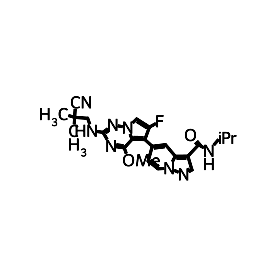 COc1nc(NCC(C)(C)C#N)nn2cc(F)c(-c3ccn4ncc(C(=O)NC(C)C)c4c3)c12